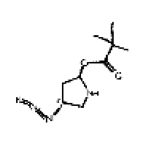 CC(C)(C)C(=O)OC1C[C@H](N=[N+]=[N-])CN1